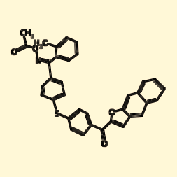 CC(=O)O/N=C(/c1ccc(Sc2ccc(C(=O)c3cc4cc5ccccc5cc4o3)cc2)cc1)c1ccccc1C